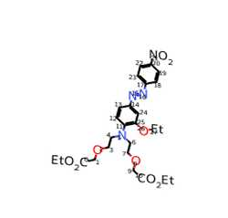 CCOC(=O)COCCN(CCOCC(=O)OCC)c1ccc(/N=N/c2ccc([N+](=O)[O-])cc2)cc1OCC